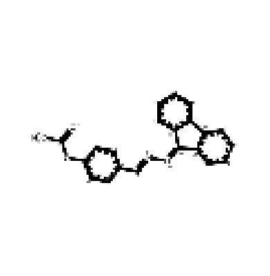 CC(=O)Oc1ccc(C=NN=C2c3ccccc3-c3ccccc32)cc1